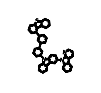 c1cc(-c2cccc(-n3c4ccccc4c4cc(-n5c6ccccc6c6cccnc65)ccc43)c2)cc(-c2cccc3sc4ccccc4c23)c1